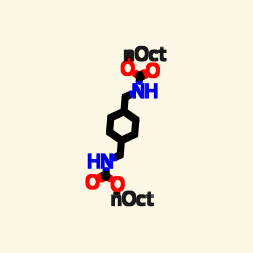 CCCCCCCCOC(=O)NCC1CCC(CNC(=O)OCCCCCCCC)CC1